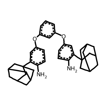 Nc1ccc(Oc2cccc(Oc3ccc(N)c(C45CC6CC(CC(C6)C4)C5)c3)c2)cc1C12CC3CC(CC(C3)C1)C2